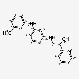 Cc1cccc(Nc2nccc(NCC(O)c3ccccn3)n2)c1